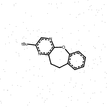 CC(C)(C)c1cnc2c(n1)CCc1ccccc1O2